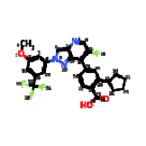 COc1cc(-n2cc3ncc(F)c(-c4ccc(C(=O)O)c(C5CCCC5)c4)c3n2)cc(C(F)(F)F)c1